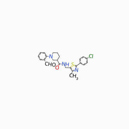 Cc1nc(-c2ccc(Cl)cc2)sc1CNC(=O)C1CCCN(c2ccccc2C=O)C1